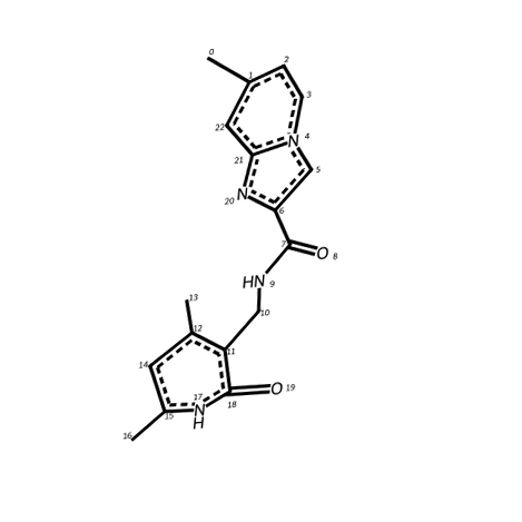 Cc1ccn2cc(C(=O)NCc3c(C)cc(C)[nH]c3=O)nc2c1